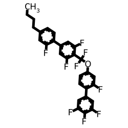 CCCCc1ccc(-c2cc(F)c(C(F)(F)Oc3ccc(-c4cc(F)c(F)c(F)c4)c(F)c3)c(F)c2)c(F)c1